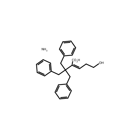 N.O=C(O)C(=CCCO)C(Cc1ccccc1)(Cc1ccccc1)Cc1ccccc1